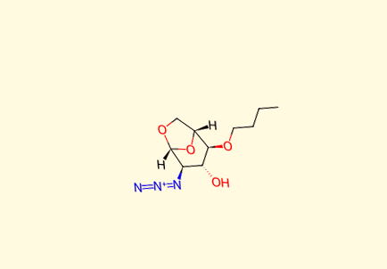 CCCCO[C@H]1[C@H](O)[C@@H](N=[N+]=[N-])[C@@H]2OC[C@H]1O2